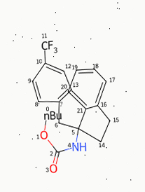 CCCCOC(=O)NC1(Cc2ccc(C(F)(F)F)cc2)CCc2ccccc21